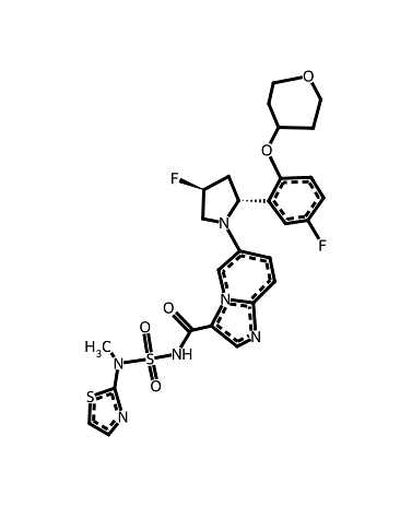 CN(c1nccs1)S(=O)(=O)NC(=O)c1cnc2ccc(N3C[C@@H](F)C[C@@H]3c3cc(F)ccc3OC3CCOCC3)cn12